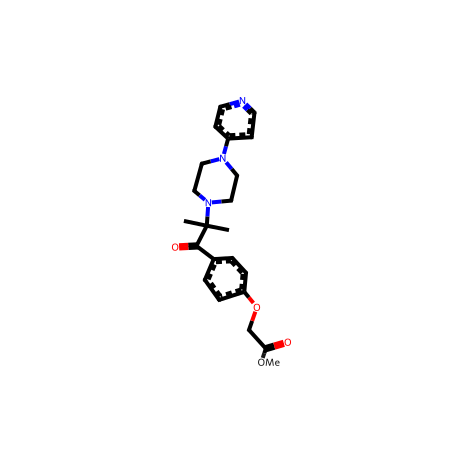 COC(=O)COc1ccc(C(=O)C(C)(C)N2CCN(c3ccncc3)CC2)cc1